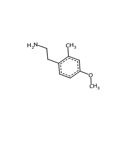 COc1ccc(CCN)c(C)c1